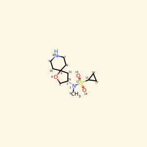 CN([C@@H]1COC2(CCNCC2)C1)S(=O)(=O)C1CC1